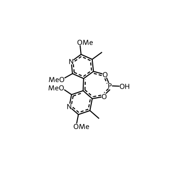 COc1nc(OC)c2c(op(O)oc3c(C)c(OC)nc(OC)c32)c1C